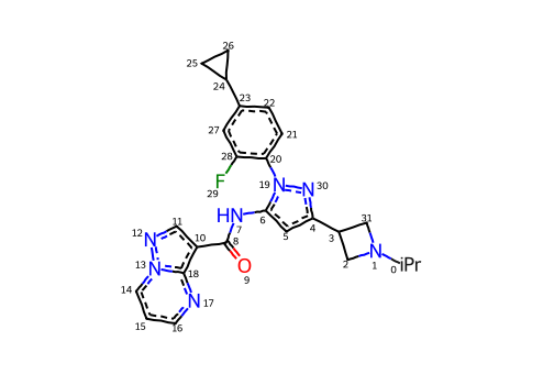 CC(C)N1CC(c2cc(NC(=O)c3cnn4cccnc34)n(-c3ccc(C4CC4)cc3F)n2)C1